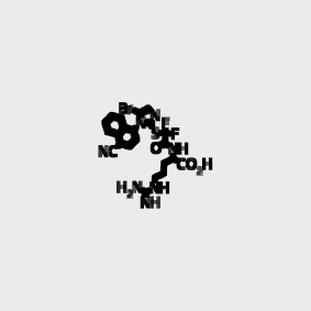 N#Cc1ccc(-n2c(Br)cnc2SC(F)(F)C(=O)NC(CCCNC(=N)N)C(=O)O)c2ccccc12